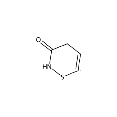 O=C1CC=[C]SN1